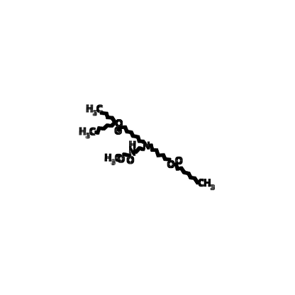 CCCCCCCCC(=O)OCCCCCCCN(CCCCCCCC(=O)OC(CCCCC)CCCCCC)CCCNC(=O)COC